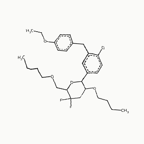 CCCCOCC1OC(c2ccc(Cl)c(Cc3ccc(OCC)cc3)c2)C(OCCCC)CC1(F)F